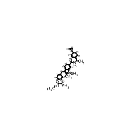 CCOC(=O)C(C)Oc1cccc(Cc2c(C)n(C)c3cc(C(=O)N[C@@H](C)c4ccc(C5CC5)cc4)ccc23)c1